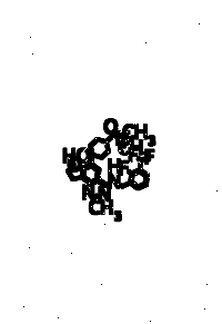 Cc1nc(NCc2cccc(C(F)F)c2F)c2cc(C3(O)CCC(C(=O)N(C)C)CC3)c3c(c2n1)CCO3